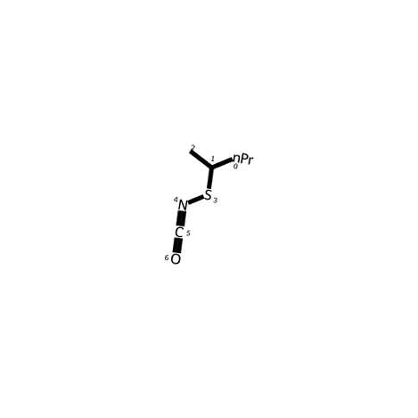 CCCC(C)SN=C=O